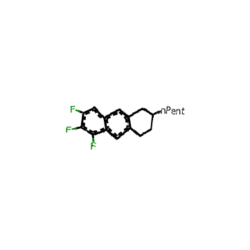 CCCCCC1CCc2cc3c(F)c(F)c(F)cc3cc2C1